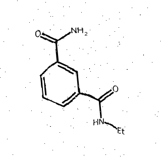 CCNC(=O)c1cccc(C(N)=O)c1